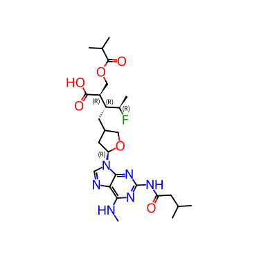 CNc1nc(NC(=O)CC(C)C)nc2c1ncn2[C@H]1CC(C[C@H]([C@H](COC(=O)C(C)C)C(=O)O)[C@@H](C)F)CO1